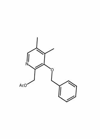 CC(=O)OCc1ncc(C)c(C)c1OCc1ccccc1